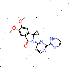 COc1cc2c(cc1OC)C1(CC1)N(c1ccnc(-c3ncccn3)n1)C2=O